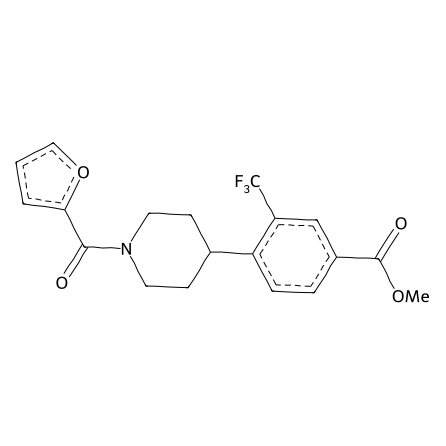 COC(=O)c1ccc(C2CCN(C(=O)c3ccco3)CC2)c(C(F)(F)F)c1